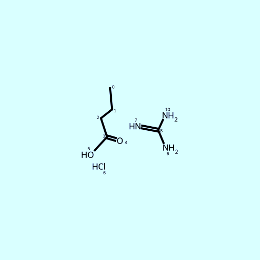 CCCC(=O)O.Cl.N=C(N)N